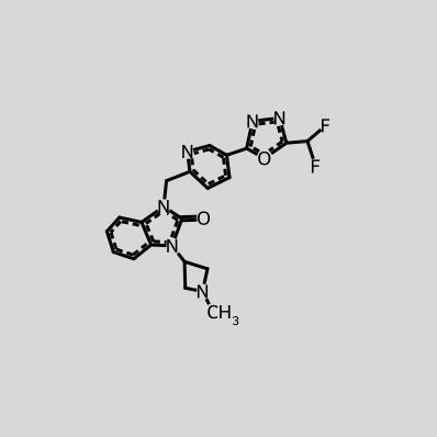 CN1CC(n2c(=O)n(Cc3ccc(-c4nnc(C(F)F)o4)cn3)c3ccccc32)C1